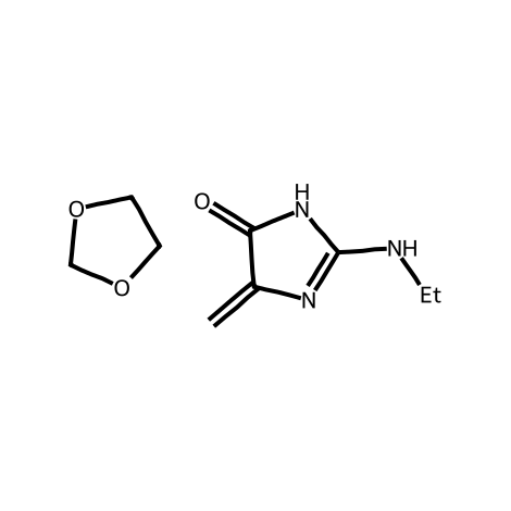 C1COCO1.C=C1N=C(NCC)NC1=O